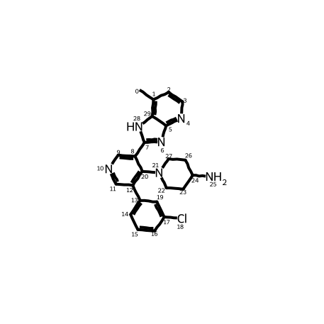 Cc1ccnc2nc(-c3cncc(-c4cccc(Cl)c4)c3N3CCC(N)CC3)[nH]c12